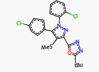 CSc1c(-c2nnc(C(C)(C)C)o2)nn(-c2ccccc2Cl)c1-c1ccc(Cl)cc1